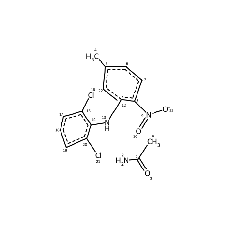 CC(N)=O.Cc1ccc([N+](=O)[O-])c(Nc2c(Cl)cccc2Cl)c1